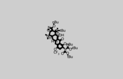 CCCCOc1noc2c1C(=O)[C@@]1(O[Si](C)(C)C(C)(C)C)C(O)=C3C(=O)c4c(c(OC(F)(F)F)cc(N(C(=O)OC(C)(C)C)C(=O)OC(C)(C)C)c4OCCCC)C[C@H]3C[C@H]1[C@@H]2N(C)C